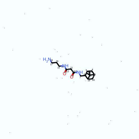 CC1(C)C2CCC(CNC(=O)CC(=O)NCCCN)C1C2